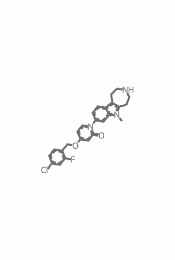 Cn1c2c(c3ccc(-n4ccc(OCc5ccc(Cl)cc5F)cc4=O)cc31)CCNCC2